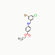 CCOC(=O)c1ccc(/N=C/c2cc(Cl)cc(Br)c2)cc1